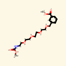 CCCCOC(=O)c1cccc(COCCOCCOCCOCCNC(=O)OC(C)(C)C)c1